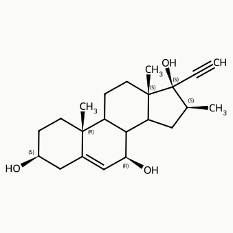 C#C[C@]1(O)[C@@H](C)CC2C3C(CC[C@@]21C)[C@@]1(C)CC[C@H](O)CC1=C[C@@H]3O